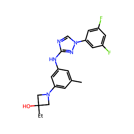 CCC1(O)CN(c2cc(C)cc(Nc3ncn(-c4cc(F)cc(F)c4)n3)c2)C1